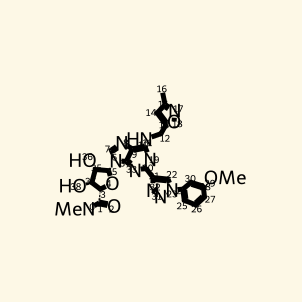 CNC(=O)[C@H]1O[C@@H](n2cnc3c(NCc4cc(C)no4)nc(-c4cn(-c5cccc(OC)c5)nn4)nc32)[C@H](O)[C@@H]1O